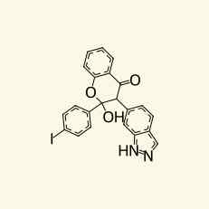 O=C1c2ccccc2OC(O)(c2ccc(I)cc2)C1c1ccc2cn[nH]c2c1